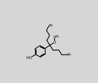 CCCOC(CCCC(C)C)(CCCC(C)C)c1ccc(O)cc1